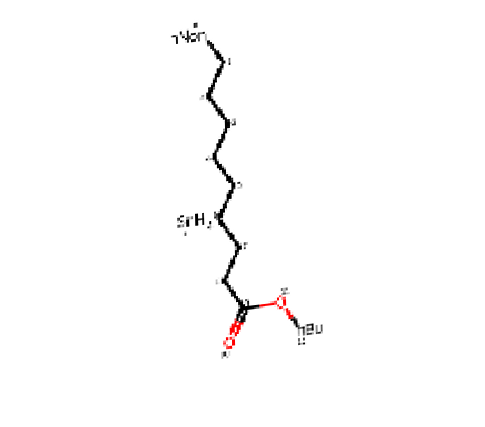 CCCCCCCCCCCCCCCCCC(=O)OCCCC.[SnH4]